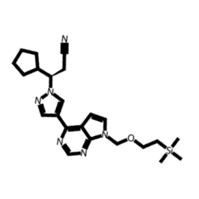 C[Si](C)(C)CCOCn1ccc2c(-c3cnn([C@H](CC#N)C4CCCC4)c3)ncnc21